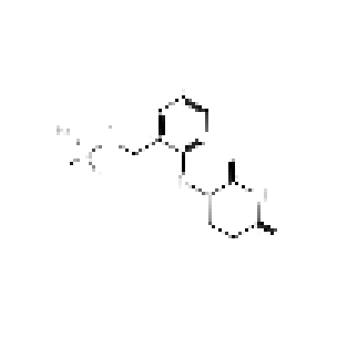 CC(C)(C)[Si](C)(C)OCc1cccnc1NC1CCC(=O)NC1=O